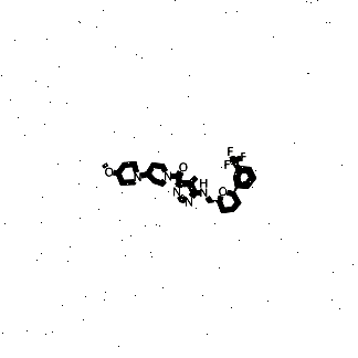 COC1CCN(C2CCN(C(=O)c3ncnc(NC[C@@H]4CCC[C@H](c5cccc(C(F)(F)F)c5)O4)c3C)CC2)CC1